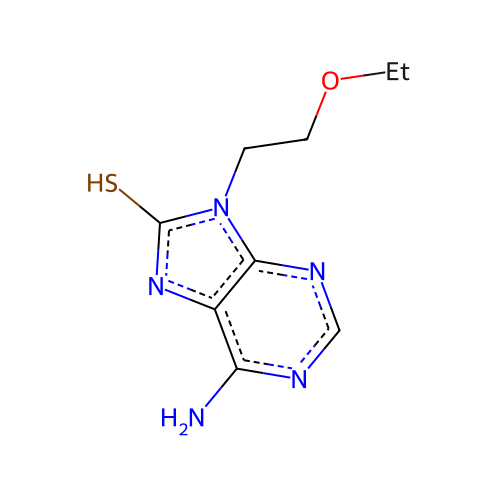 CCOCCn1c(S)nc2c(N)ncnc21